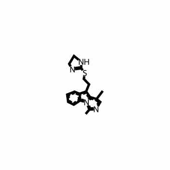 Cc1cnc(C)n2c1c(CCSC1=NCCN1)c1ccccc12